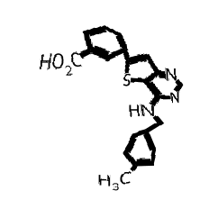 Cc1ccc(CNc2ncnc3cc(-c4cccc(C(=O)O)c4)sc23)cc1